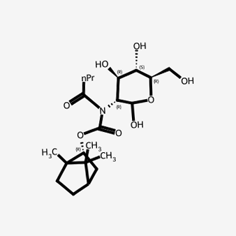 CCCC(=O)N(C(=O)O[C@@H]1CC2CCC1(C)C2(C)C)[C@H]1C(O)O[C@H](CO)[C@@H](O)[C@@H]1O